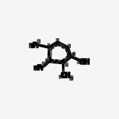 CCCc1ccc(O)c(C)c1CCC